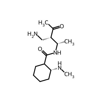 CN[C@@H]1CCCCC1C(=O)N[C@@H](C)[C@H](CN)C(C)=O